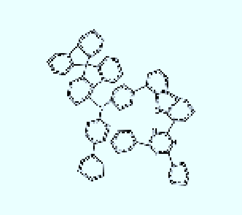 c1ccc(-c2ccc(N(c3ccc(-c4cccc5c4oc4c(-c6nc(-c7ccccc7)nc(-c7ccccc7)n6)cccc45)cc3)c3cccc4c3-c3ccccc3C43c4ccccc4-c4ccccc43)cc2)cc1